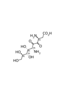 N[C@@H](CC(=O)O)C(=O)C(=O)[C@H](N)[C@@H](O)[C@H](O)[C@H](O)CO